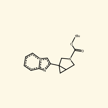 CC(C)(C)OC(=O)N1CC2CC2(c2cn3ccccc3n2)C1